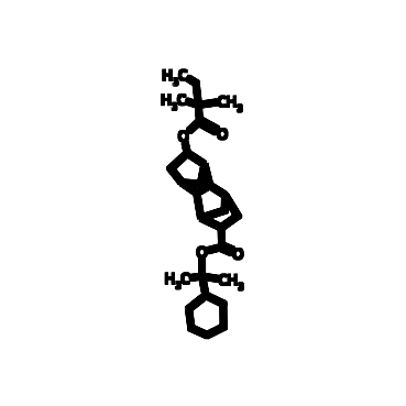 CCC(C)(C)C(=O)OC1CC2CC1C1C3CC(C(=O)OC(C)(C)C4CCCCC4)C(C3)C21